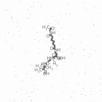 CC(=O)CNC(=O)CCCCCC(=O)NCC/C(=N\O)C(C)(C)NCCONC(C)(C)/C(C)=N/O